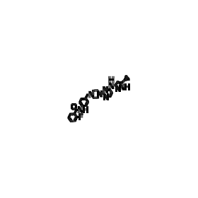 O=C(Nc1ccc(CN2CCN(c3nccc(Nc4cc(C5CC5)[nH]n4)n3)CC2)cc1)c1ccccc1F